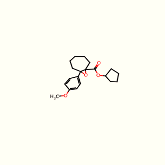 COc1ccc(C23CCCCCC2(C(=O)OC2CCCC2)O3)cc1